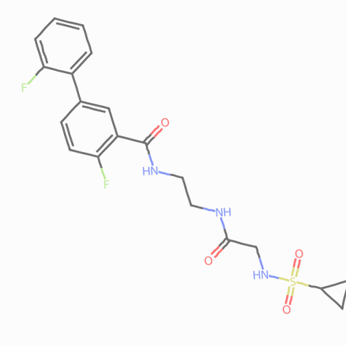 O=C(CNS(=O)(=O)C1CC1)NCCNC(=O)c1cc(-c2ccccc2F)ccc1F